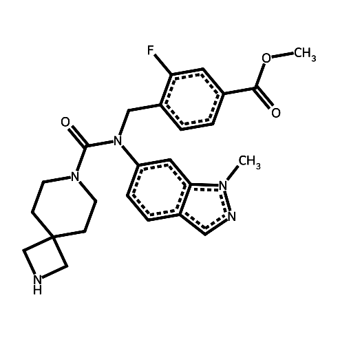 COC(=O)c1ccc(CN(C(=O)N2CCC3(CC2)CNC3)c2ccc3cnn(C)c3c2)c(F)c1